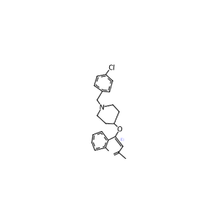 C=C(C)/C=C(/OC1CCN(Cc2ccc(Cl)cc2)CC1)c1ccccc1C